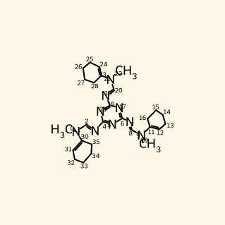 CN(C=Nc1nc(N=CN(C)C2=CCCCC2)nc(N=CN(C)C2=CCCCC2)n1)C1=CCCCC1